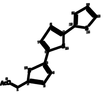 CC(=O)OCc1ccc(-c2ccc(-c3cccs3)s2)s1